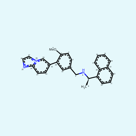 COc1ccc(CN[C@H](C)c2cccc3ccccc23)cc1-c1ccc2nccn2c1